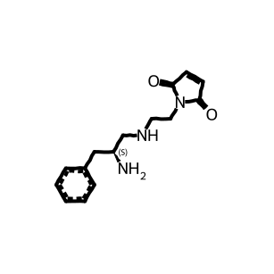 N[C@H](CNCCN1C(=O)C=CC1=O)Cc1ccccc1